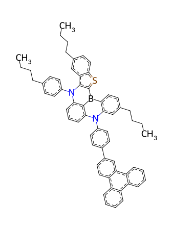 CCCCc1ccc(N2c3cccc4c3B(c3ccc(CCCC)cc3N4c3ccc(-c4ccc5c6ccccc6c6ccccc6c5c4)cc3)c3sc4ccc(CCCC)cc4c32)cc1